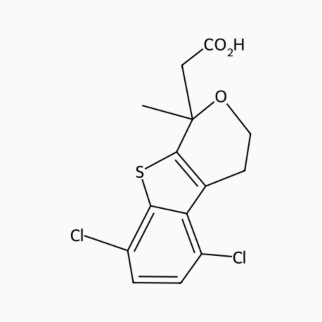 CC1(CC(=O)O)OCCc2c1sc1c(Cl)ccc(Cl)c21